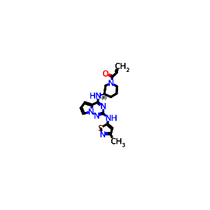 C=CC(=O)N1CCC[C@@H](Nc2nc(Nc3cc(C)ns3)nn3cccc23)C1